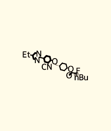 CCCC[C@H](F)C(=O)O[C@H]1CC[C@H](COc2ccc(-c3ncc(CC)cn3)cc2C#N)CC1